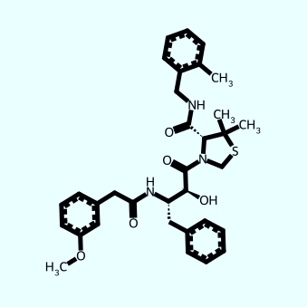 COc1cccc(CC(=O)N[C@@H](Cc2ccccc2)[C@H](O)C(=O)N2CSC(C)(C)[C@H]2C(=O)NCc2ccccc2C)c1